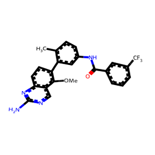 COc1c(-c2cc(NC(=O)c3cccc(C(F)(F)F)c3)ccc2C)ccc2nc(N)ncc12